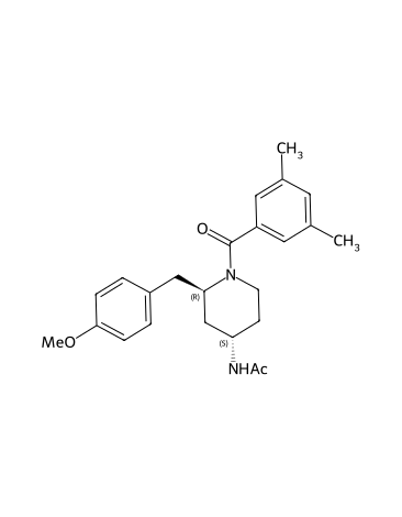 COc1ccc(C[C@@H]2C[C@@H](NC(C)=O)CCN2C(=O)c2cc(C)cc(C)c2)cc1